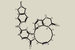 CN1Cc2ccc(Nc3ncc4c(=O)n5n(c4n3)-c3ccc4c(n3)N(CCC/C=C\C5)C(=O)CO4)cc2C1